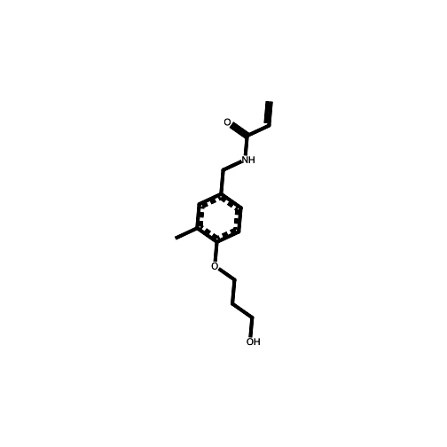 C=CC(=O)NCc1ccc(OCCCO)c(C)c1